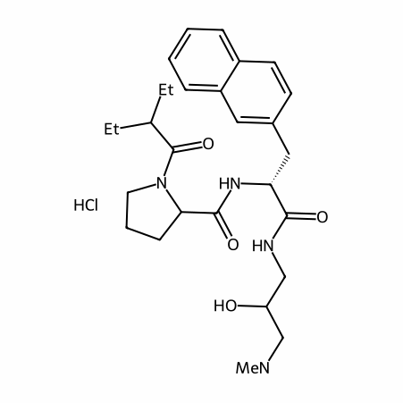 CCC(CC)C(=O)N1CCCC1C(=O)N[C@H](Cc1ccc2ccccc2c1)C(=O)NCC(O)CNC.Cl